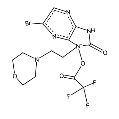 O=C(O[N+]1(CCN2CCOCC2)C(=O)Nc2ncc(Br)nc21)C(F)(F)F